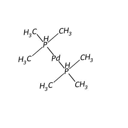 C[PH](C)(C)[Pd][PH](C)(C)C